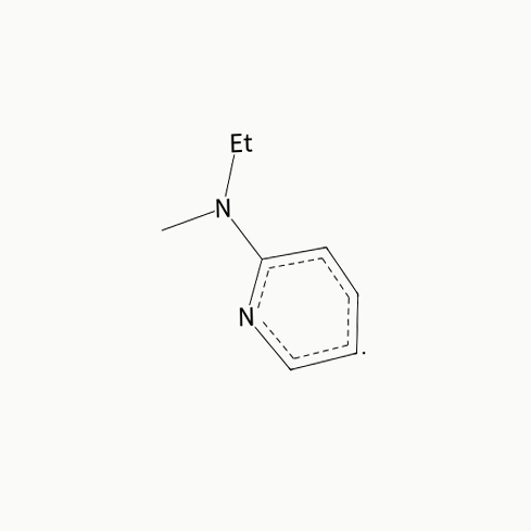 CCN(C)c1cc[c]cn1